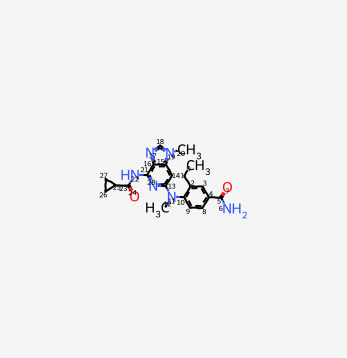 CCc1cc(C(N)=O)ccc1N(C)c1cc2c(ncn2C)c(NC(=O)C2CC2)n1